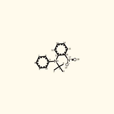 CC(C)(C)N(c1ccccc1)c1ccccc1[N+](=O)[O-]